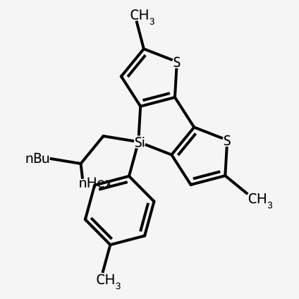 CCCCCCC(CCCC)C[Si]1(c2ccc(C)cc2)c2cc(C)sc2-c2sc(C)cc21